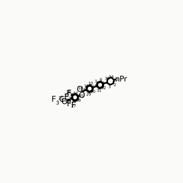 CCCC1CCC(c2ccc(-c3ccc(C(=O)Oc4cc(F)c(C(F)(F)OC(F)(F)F)c(F)c4)cc3)cc2)CC1